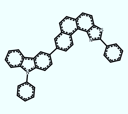 c1ccc(-c2nc3c(ccc4ccc5cc(-c6ccc7c(c6)c6ccccc6n7-c6ccccc6)ccc5c43)s2)cc1